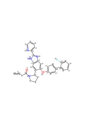 CNCC(=O)N1CCCC1c1cc2[nH]c(-c3ccccn3)nc2cc1Oc1ccc(-c2ccccc2F)cc1